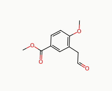 COC(=O)c1ccc(OC)c(CC=O)c1